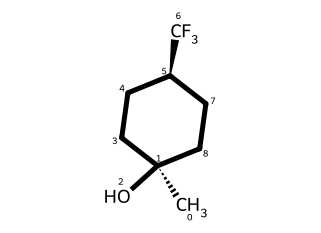 C[C@]1(O)CC[C@@H](C(F)(F)F)CC1